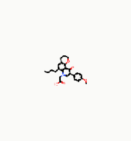 CCCCc1cc2c(c3c(=O)c(-c4ccc(OC)cc4)cn(CC(=O)O)c13)OCCC2